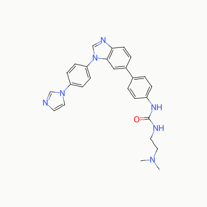 CN(C)CCNC(=O)Nc1ccc(-c2ccc3ncn(-c4ccc(-n5ccnc5)cc4)c3c2)cc1